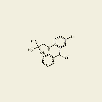 CC(C)(C)CNc1ccc(Br)cc1C(O)c1ccccn1